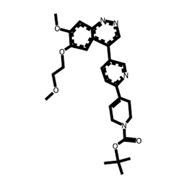 COCCOc1cc2c(-c3ccc(C4=CCN(C(=O)OC(C)(C)C)CC4)nc3)cnnc2cc1OC